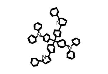 c1ccc(-c2cccc(-c3ccc(C(c4ccc(-c5cccc(-c6ccccc6)n5)cc4)(c4ccc(N(c5ccccc5)c5ccccc5)cc4)c4ccc(N(c5ccccc5)c5ccccc5)cc4)cc3)n2)cc1